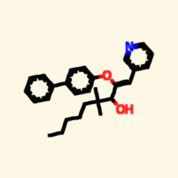 CCCCCC(C)(C)C(O)C(=Cc1cccnc1)Oc1ccc(-c2ccccc2)cc1